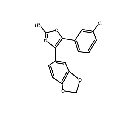 Sc1nc(-c2ccc3c(c2)OCO3)c(-c2cccc(Cl)c2)o1